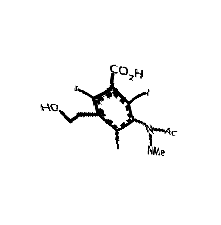 CNN(C(C)=O)c1c(I)c(CO)c(I)c(C(=O)O)c1I